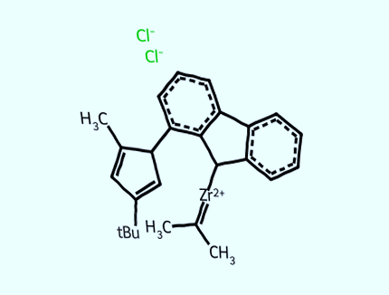 CC1=CC(C(C)(C)C)=CC1c1cccc2c1[CH]([Zr+2]=[C](C)C)c1ccccc1-2.[Cl-].[Cl-]